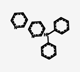 c1ccc(Pc2ccccc2)cc1.c1ccncc1.c1ccncc1